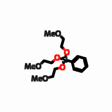 COCCO[Si](OCCOC)(OCCOC)c1ccccc1